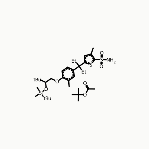 CC(=O)OC(C)(C)C.CCC(CC)(c1ccc(OCC(O[Si](C)(C)C(C)(C)C)C(C)(C)C)c(C)c1)c1cc(C)c(S(N)(=O)=O)s1